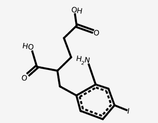 Nc1cc(I)ccc1CC(CCC(=O)O)C(=O)O